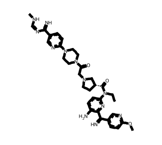 CCN(C(=O)[C@@H]1CCN(CC(=O)N2CCN(c3ccc(C(=N)/N=C\NC)cn3)CC2)C1)c1ccc(N)c(C(=N)c2ccc(OC)nc2)n1